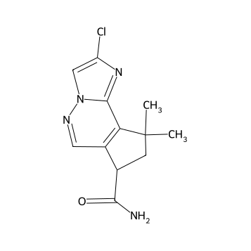 CC1(C)CC(C(N)=O)c2cnn3cc(Cl)nc3c21